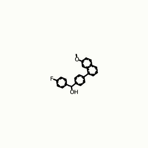 COc1ccc2cccc(-c3ccc(C(O)c4ccc(F)cc4)cc3)c2c1